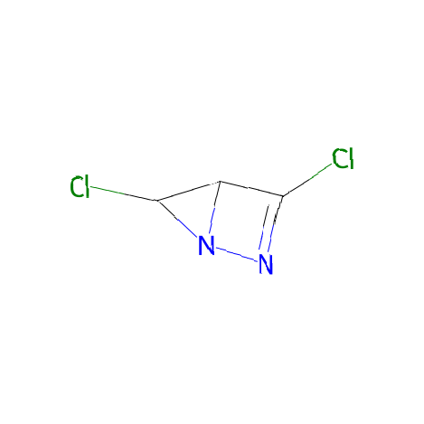 ClC1=NN2C(Cl)C12